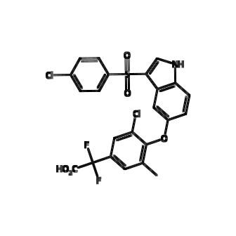 Cc1cc(C(F)(F)C(=O)O)cc(Cl)c1Oc1ccc2[nH]cc(S(=O)(=O)c3ccc(Cl)cc3)c2c1